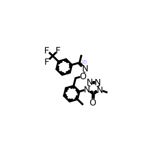 C/C(=N/OCc1cccc(C)c1-n1nnn(C)c1=O)c1cccc(C(F)(F)F)c1